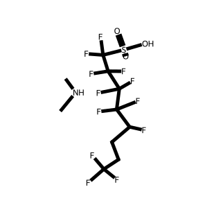 CNC.O=S(=O)(O)C(F)(F)C(F)(F)C(F)(F)C(F)(F)C(F)CCC(F)(F)F